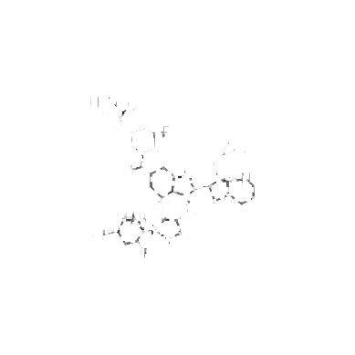 COc1cc(C(=O)N2C[C@H](F)C[C@@H](OC(N)=O)C2)cc2nc(-c3cc4cccnc4n3CC3CC3)n(Cc3cnn(-c4ncc(Cl)cc4F)c3)c12